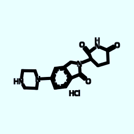 Cl.O=C1CCC(N2Cc3cc(N4CCNCC4)ccc3C2=O)C(=O)N1